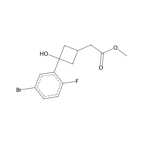 COC(=O)CC1CC(O)(c2cc(Br)ccc2F)C1